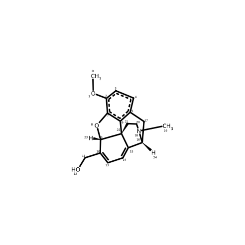 COc1ccc2c3c1O[C@H]1C(CO)=CC=C4[C@@H](C2)N(C)CC[C@]431